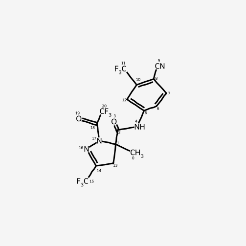 CC1(C(=O)Nc2ccc(C#N)c(C(F)(F)F)c2)CC(C(F)(F)F)=NN1C(=O)C(F)(F)F